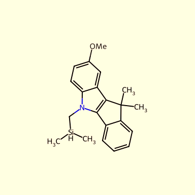 COc1ccc2c(c1)c1c(n2C[SiH](C)C)-c2ccccc2C1(C)C